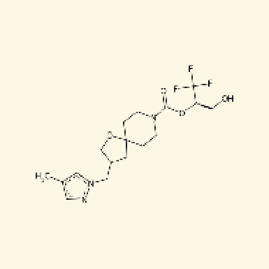 Cc1cnn(CC2COC3(CCN(C(=O)O[C@H](CO)C(F)(F)F)CC3)C2)c1